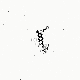 COCCCOc1cc(CC(CC(N)C(O)CNC(=O)N(C)C)C(C)C)ccc1OC.Cl